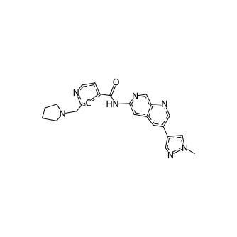 Cn1cc(-c2cnc3cnc(NC(=O)c4ccnc(CN5CCCC5)c4)cc3c2)cn1